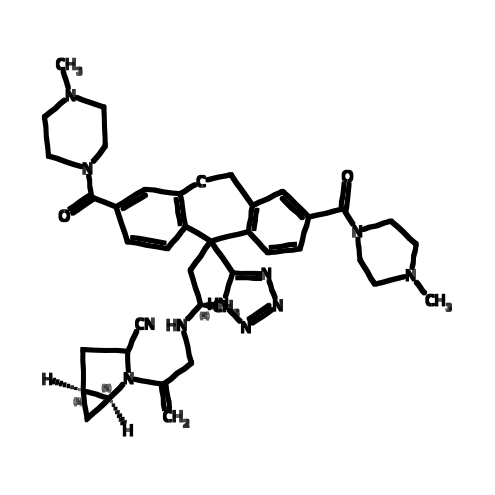 C=C(CN[C@H](C)CC1(c2nnn[nH]2)c2ccc(C(=O)N3CCN(C)CC3)cc2CCc2cc(C(=O)N3CCN(C)CC3)ccc21)N1C(C#N)C[C@@H]2C[C@@H]21